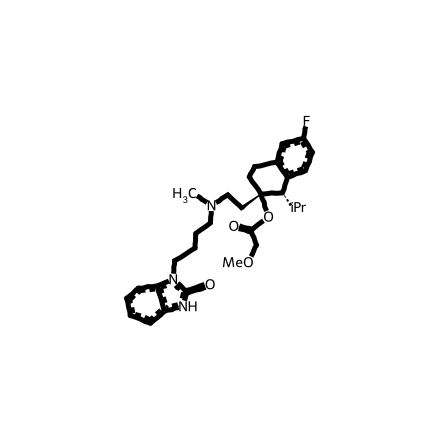 COCC(=O)O[C@]1(CCN(C)CCCCn2c(=O)[nH]c3ccccc32)CCc2cc(F)ccc2[C@@H]1C(C)C